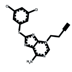 C#CCCn1cnc(N)c2nc(Sc3cc(Cl)cc(Cl)c3)nc1-2